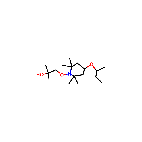 CCC(C)OC1CC(C)(C)N(OCC(C)(C)O)C(C)(C)C1